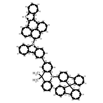 CC1(C)c2ccccc2N(c2ccc3c(c2)C2(c4ccccc4-c4ccccc42)c2ccccc2-3)c2ccc(-c3ccc4c(c3)c3ccccc3n4-c3cc4cccc5c6c7ccccc7sc6c6cccc3c6c45)cc21